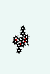 N#Cc1cccc(-c2c(-c3ccccc3)c(-n3c4ccccc4c4cc(-c5ccccc5)ccc43)nc(-c3ccccc3)c2-n2c3ccccc3c3cc(-c4ccccc4)ccc32)c1C#N